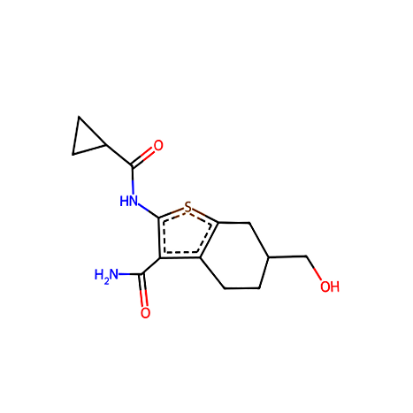 NC(=O)c1c(NC(=O)C2CC2)sc2c1CCC(CO)C2